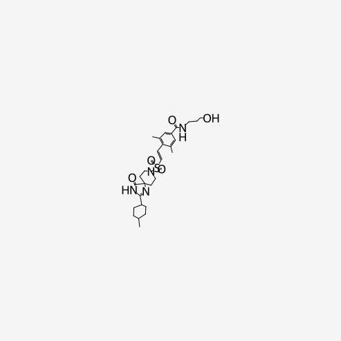 Cc1cc(C(=O)NCCCO)cc(C)c1/C=C/S(=O)(=O)N1CCC2(CC1)N=C(C1CCC(C)CC1)NC2=O